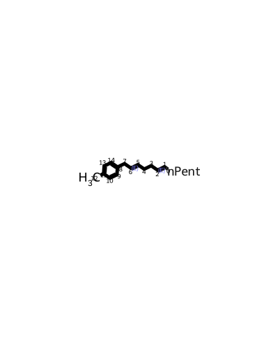 CCCCC/C=C/CC/C=C/Cc1ccc(C)cc1